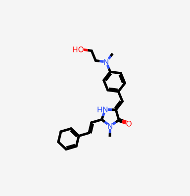 CN(CCO)c1ccc(/C=C2\NC(/C=C/C3=CCCC=C3)N(C)C2=O)cc1